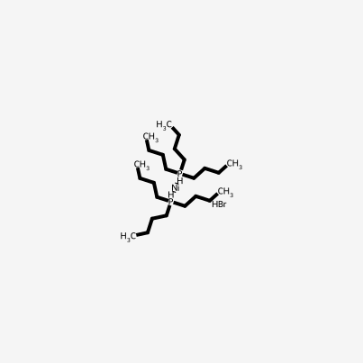 Br.CCCC[PH](CCCC)(CCCC)[Ni][PH](CCCC)(CCCC)CCCC